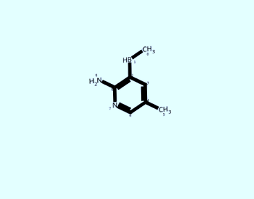 CBc1cc(C)cnc1N